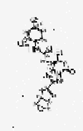 CCc1cc(=O)n2nc(C3=CC4COCC4C3)nc2n1CC(=O)Nc1ccc(C(F)(F)F)cc1Cl